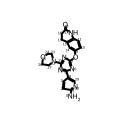 Nc1ccc(-c2nc(Oc3ccc4c(c3)CCC(=O)N4)nc(N3CCOCC3)n2)cn1